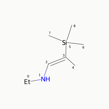 CCN/C=C(\C)[Si](C)(C)C